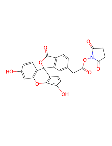 O=C(Cc1ccc2c(c1)C1(OC2=O)c2ccc(O)cc2Oc2cc(O)ccc21)ON1C(=O)CCC1=O